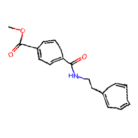 COC(=O)c1ccc(C(=O)NCCc2ccccc2)cc1